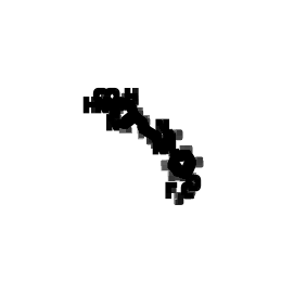 O=C(O)Nc1ccc(/C=C/c2ncn(-c3ccc(OC(F)(F)F)cc3)n2)cn1